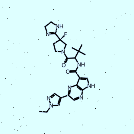 CCn1cc(-c2cnc3[nH]cc(C(=O)NC(C(=O)N4CC[C@](F)(C5=NCCN5)C4)C(C)(C)C)c3n2)cn1